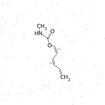 C=C/C=C\C=C/OC(=O)NC